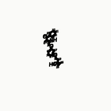 Cc1c(COc2cccc(OCCC3(O)CC3)c2)[nH]c2ccccc2c1=O